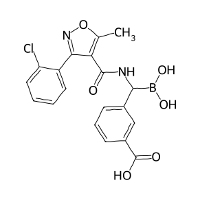 Cc1onc(-c2ccccc2Cl)c1C(=O)NC(B(O)O)c1cccc(C(=O)O)c1